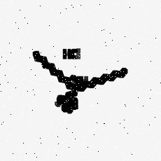 CCCCCCCCCCC(CCCCCCCCCC)(CC[Si](OC)(OC)OC)NC.Cl